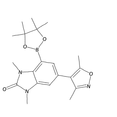 Cc1noc(C)c1-c1cc(B2OC(C)(C)C(C)(C)O2)c2c(c1)n(C)c(=O)n2C